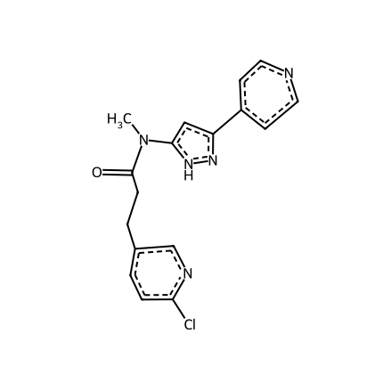 CN(C(=O)CCc1ccc(Cl)nc1)c1cc(-c2ccncc2)n[nH]1